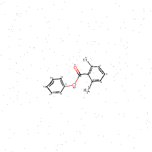 CCc1cccc(C)c1C(=O)Oc1ccccc1